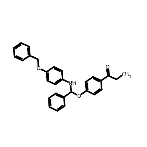 CCC(=O)c1ccc(OC(Nc2ccc(OCc3ccccc3)cc2)c2ccccc2)cc1